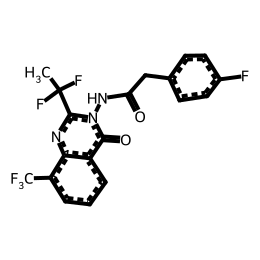 CC(F)(F)c1nc2c(C(F)(F)F)cccc2c(=O)n1NC(=O)Cc1ccc(F)cc1